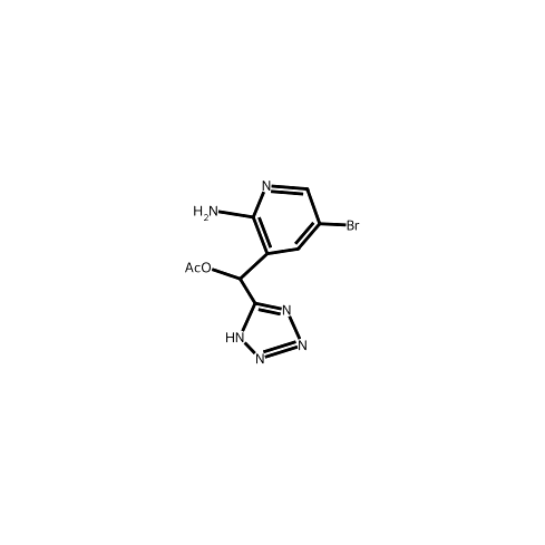 CC(=O)OC(c1nnn[nH]1)c1cc(Br)cnc1N